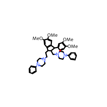 COc1ccc(C2c3cc(OC)c(OC)cc3C(CCN3CCN(c4ccccc4)CC3)C2CN2CCN(c3ccccc3)CC2)cc1OC